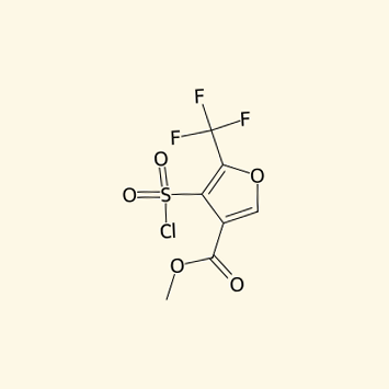 COC(=O)c1coc(C(F)(F)F)c1S(=O)(=O)Cl